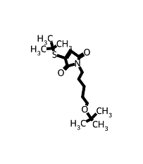 CC(C)(C)OCCCCCN1C(=O)C=C(SC(C)(C)C)C1=O